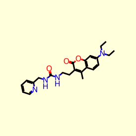 CCN(CC)c1ccc2c(C)c(CCNC(=O)NCc3ccccn3)c(=O)oc2c1